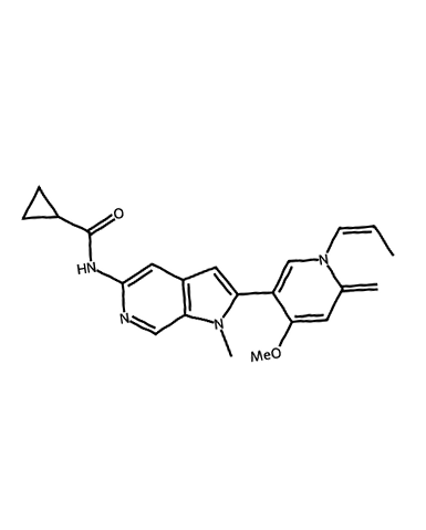 C=C1C=C(OC)C(c2cc3cc(NC(=O)C4CC4)ncc3n2C)=CN1/C=C\C